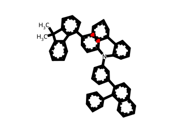 CC1(C)c2ccccc2-c2c(-c3ccc(N(c4cccc(-c5ccc6ccccc6c5-c5ccccc5)c4)c4ccccc4-c4ccccc4)cc3)cccc21